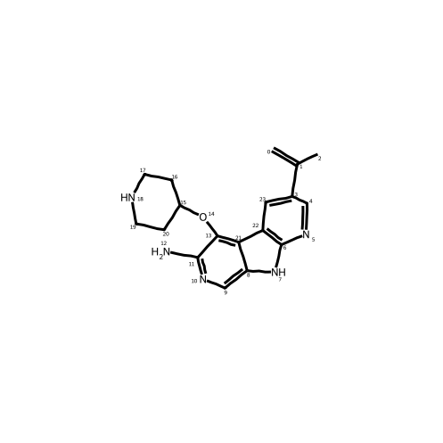 C=C(C)c1cnc2[nH]c3cnc(N)c(OC4CCNCC4)c3c2c1